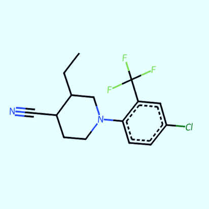 CCC1CN(c2ccc(Cl)cc2C(F)(F)F)CCC1C#N